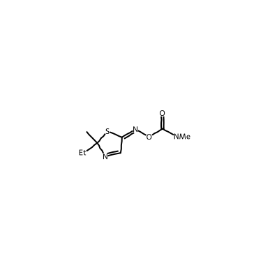 CCC1(C)N=CC(=NOC(=O)NC)S1